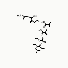 C=C(C)C(=O)OC.C=C(C)C(=O)OC.C=C(CCC)C(=O)O.C=CC(=O)OCC.C=CC(=O)OCC.CN(C)C.CN(C)C.Cl